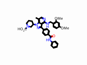 COc1ccc(CNc2ncc(C)c3c2c(-c2ccc(C(=O)Nc4ccccc4)cc2)nn3C2CCCN(C(=O)O)C2)c(OC)c1